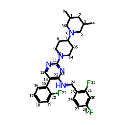 CC1CC(C)CN(C2CCN(c3ncc(-c4ccccc4F)c(NCc4ccc(F)cc4F)n3)CC2)C1